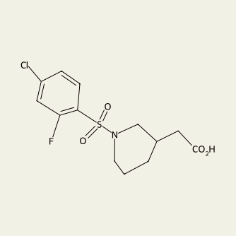 O=C(O)CC1CCCN(S(=O)(=O)c2ccc(Cl)cc2F)C1